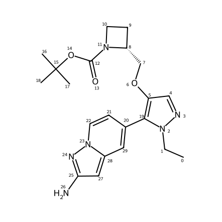 CCn1ncc(OC[C@H]2CCN2C(=O)OC(C)(C)C)c1-c1ccn2nc(N)cc2c1